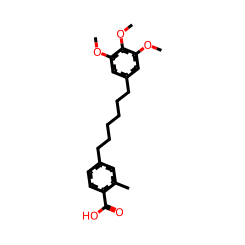 COc1cc(CCCCCCc2ccc(C(=O)O)c(C)c2)cc(OC)c1OC